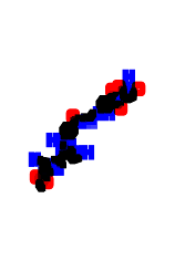 CCS(=O)(=O)N1CC(CC#N)(n2cc(-c3nc(Nc4ccc(C(=O)NCCCNc5ccc6c(c5)C(=O)N(C5CCC(=O)NC5=O)C6=O)cc4)nc4[nH]ccc34)cn2)C1